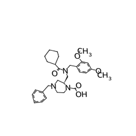 COc1ccc(CN(C[C@@H]2CN(Cc3ccccc3)CCN2C(=O)O)C(=O)C2CCCCC2)c(OC)c1